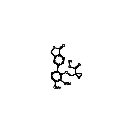 COc1ccc(-c2ccc3c(c2)COC3=O)c(OCC2(C(=O)OC(C)C)CC2)c1OC